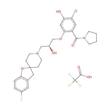 O=C(O)C(F)(F)F.O=C(c1cc(Cl)c(O)cc1OC[C@@H](O)CN1CCC2(CC1)Cc1cc(F)ccc1O2)N1CCCC1